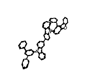 c1ccc(-c2cc(-c3ccccc3)cc(-n3c4ccccc4c4cc(-c5ccc6c(c5)c5ccccc5n6-c5ccc6oc7ccccc7c6c5-c5ccccc5)ccc43)c2)cc1